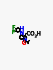 C=C(C)C(=O)n1cc(CC(=O)O)c2c(Nc3ccc(F)c(F)c3)cccc21